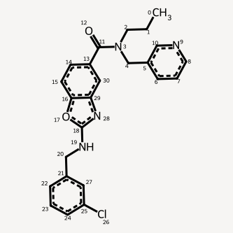 CCCN(Cc1cccnc1)C(=O)c1ccc2oc(NCc3cccc(Cl)c3)nc2c1